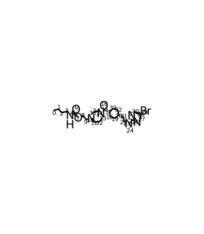 CCCCNC(=O)OCCN1CCCN(C(=O)[C@H]2CC[C@H](CCN(C)c3ncc(Br)cn3)CC2)CC1